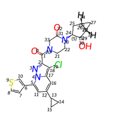 O=C(c1nn2c(-c3ccsc3)cc(C3CC3)cc2c1Cl)N1CCN([C@H]2C[C@@H]3C[C@@H]3[C@@H]2O)C(=O)C1